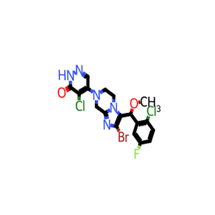 COC(c1cc(F)ccc1Cl)c1c(Br)nc2n1CCN(c1cn[nH]c(=O)c1Cl)C2